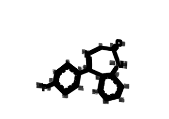 O=C1CN=C(c2ccc([18F])cc2)c2ccccc2N1